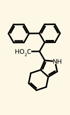 O=C(O)C(c1ccccc1-c1ccccc1)c1[nH]cc2c1CC=CC2